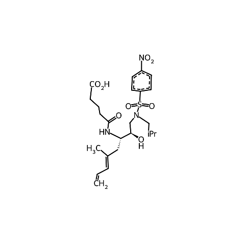 C=C/C=C(\C)C[C@H](NC(=O)CCCC(=O)O)[C@H](O)CN(CC(C)C)S(=O)(=O)c1ccc([N+](=O)[O-])cc1